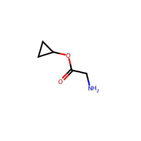 NCC(=O)OC1CC1